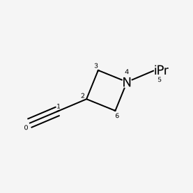 C#CC1CN(C(C)C)C1